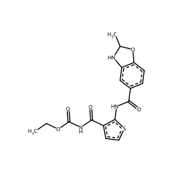 CCOC(=O)NC(=O)c1ccsc1NC(=O)c1ccc2c(c1)NC(C)O2